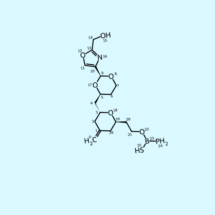 C=C1C[C@H](C[C@@H]2CCO[C@H](c3coc(CO)n3)O2)O[C@@H](CCOB(P)S)C1